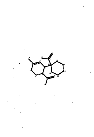 C=C(C)C1CCC(C)=CC1C1(C(=C)C)CCCCC1